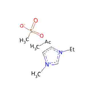 CC(C)=O.CCn1cc[n+](C)c1.CS(=O)(=O)[O-]